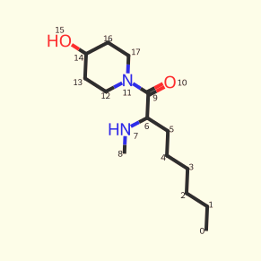 CCCCCCC(NC)C(=O)N1CCC(O)CC1